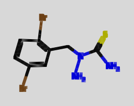 NC(=S)N(N)Cc1cc(Br)ccc1Br